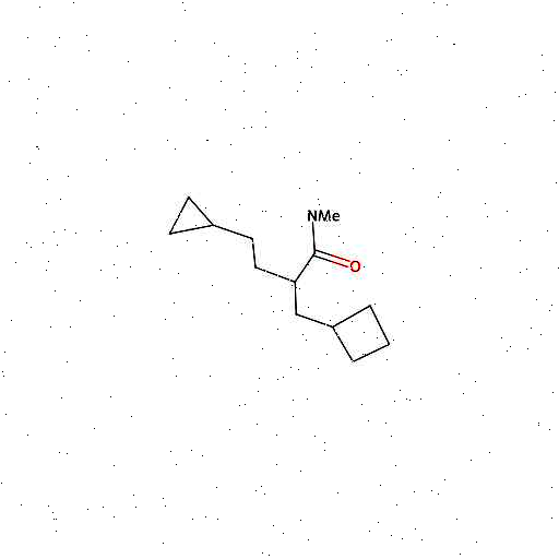 CNC(=O)C(CCC1CC1)CC1CCC1